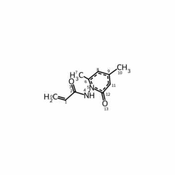 C=CC(=O)Nn1c(C)cc(C)cc1=O